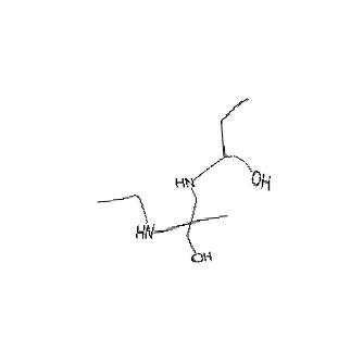 CCNC(C)(O)NC(O)CC